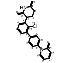 C=C1CCC(c2cccc(-c3ccc(N4C=CC=CC4=C)cc3)c2Cl)C(=C)N1